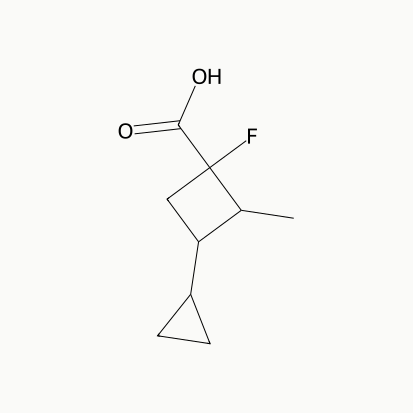 CC1C(C2CC2)CC1(F)C(=O)O